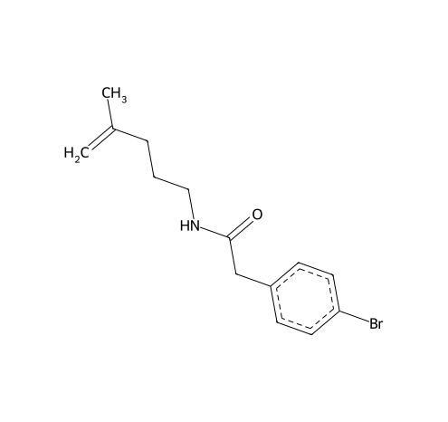 C=C(C)CCCNC(=O)Cc1ccc(Br)cc1